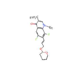 CCOC(=O)c1cn(CC)c2c(F)c(C=CCOC3CCCCO3)c(F)cc2c1=O